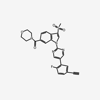 C#Cc1ccc(F)c(-c2cnc(-n3cc(S(C)(=O)=O)c4ccc(C(=O)N5CCOCC5)cc43)nc2)c1